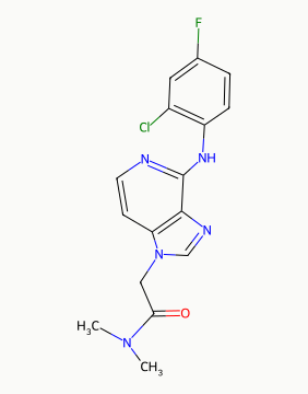 CN(C)C(=O)Cn1cnc2c(Nc3ccc(F)cc3Cl)nccc21